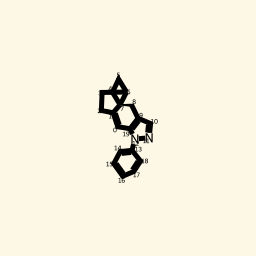 C1=C2CCC34CC3[C@]24Cc2cnn(-c3ccccc3)c21